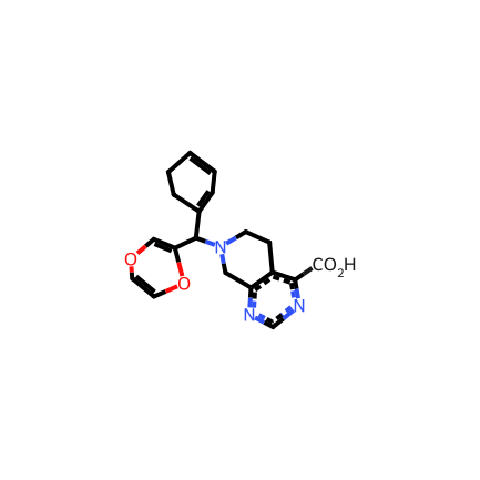 O=C(O)c1ncnc2c1CCN(C(C1=CC=CCC1)C1=COC=CO1)C2